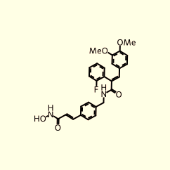 COc1ccc(C=C(C(=O)NCc2ccc(C=CC(=O)NO)cc2)c2ccccc2F)cc1OC